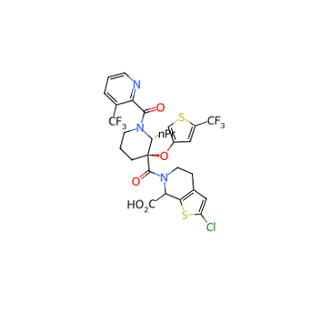 CCC[C@H]1N(C(=O)c2ncccc2C(F)(F)F)CCC[C@@]1(Oc1csc(C(F)(F)F)c1)C(=O)N1CCc2cc(Cl)sc2C1C(=O)O